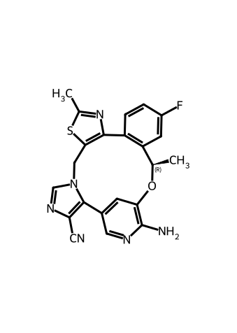 Cc1nc2c(s1)Cn1cnc(C#N)c1-c1cnc(N)c(c1)O[C@H](C)c1cc(F)ccc1-2